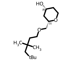 CC(C)(C)CC(C)(C)CCOC[C@@H]1C[C@H](O)CCO1